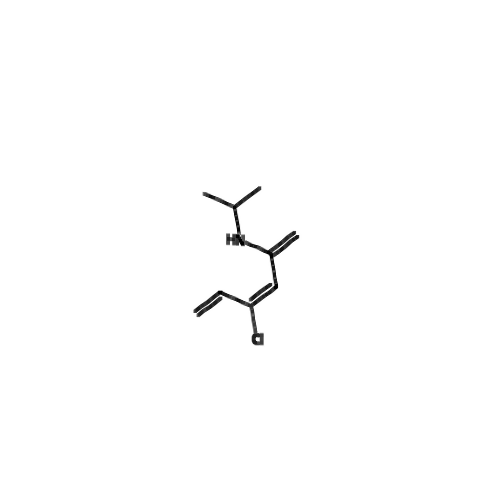 C=C/C(Cl)=C\C(=C)NC(C)C